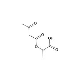 C=C(OC(=O)CC(C)=O)C(=O)O